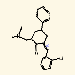 CN(C)CC1CC(c2ccccc2)C/C(=C/c2ccccc2Cl)C1=O